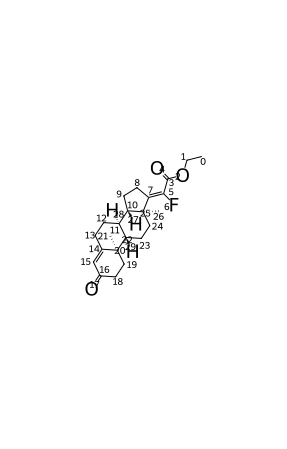 CCOC(=O)C(F)=C1CC[C@H]2[C@@H]3CCC4=CC(=O)CC[C@]4(C)[C@H]3CC[C@]12C